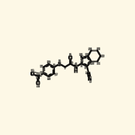 N#Cc1c(NC(=O)CSc2ccc([N+](=O)[O-])cc2)sc2c1CCCC2